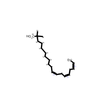 CC/C=C\C/C=C\C/C=C\CCCCCCCCC(C)(C)C(=O)O